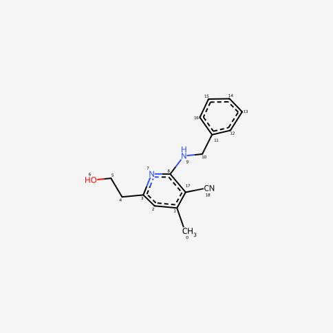 Cc1cc(CCO)nc(NCc2ccccc2)c1C#N